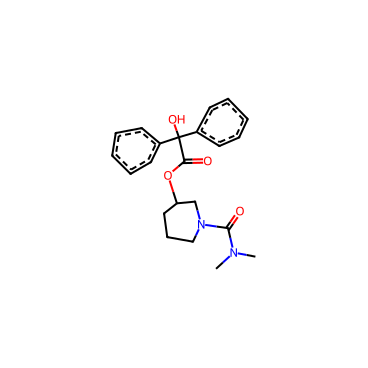 CN(C)C(=O)N1CCCC(OC(=O)C(O)(c2ccccc2)c2ccccc2)C1